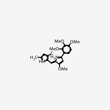 COC1=CC(c2ccc(OC)c(OC)c2OC)=NC1=Cc1[nH]c(C)cc1C